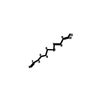 C=CCCCC[CH]C=CC=CC